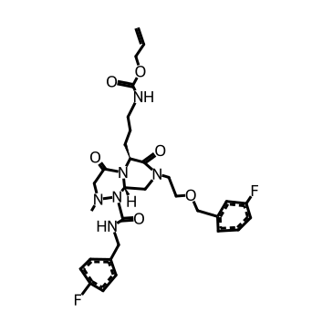 C=CCOC(=O)NCCC[C@H]1C(=O)N(CCOCc2cccc(F)c2)C[C@H]2N1C(=O)CN(C)N2C(=O)NCc1ccc(F)cc1